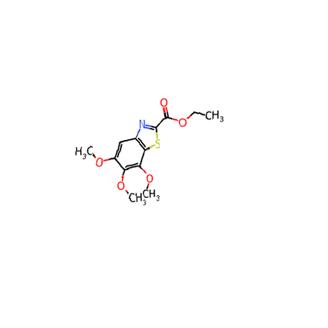 CCOC(=O)c1nc2cc(OC)c(OC)c(OC)c2s1